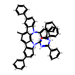 Cc1cc2c3cc(-c4ccccc4)ccc3n(-c3nc(-c4ccccc4)nc(-c4ccccc4)n3)c2c2c1c1cc(-c3ccccc3)ccc1n2-c1ccc2ccccc2c1